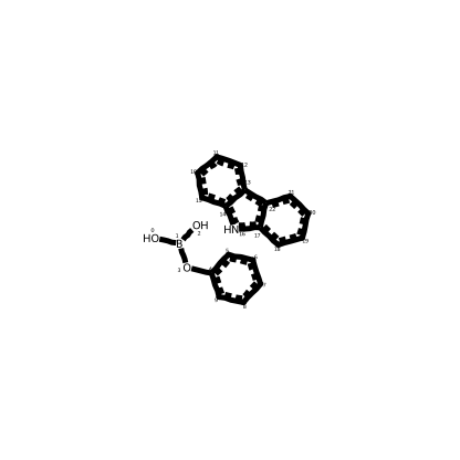 OB(O)Oc1ccccc1.c1ccc2c(c1)[nH]c1ccccc12